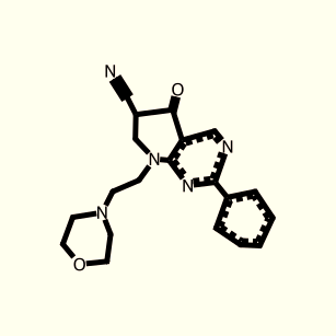 N#CC1CN(CCN2CCOCC2)c2nc(-c3ccccc3)ncc2C1=O